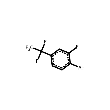 CC(=O)c1ccc(C(F)(F)C(F)(F)F)cc1F